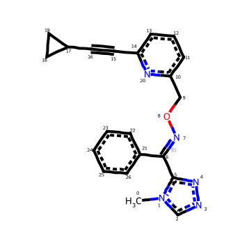 Cn1cnnc1/C(=N/OCc1cccc(C#CC2CC2)n1)c1ccccc1